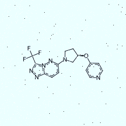 FC(F)(F)c1nnc2ccc(N3CC[C@@H](Oc4ccncc4)C3)nn12